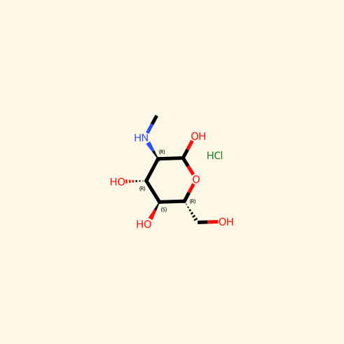 CN[C@H]1C(O)O[C@H](CO)[C@@H](O)[C@@H]1O.Cl